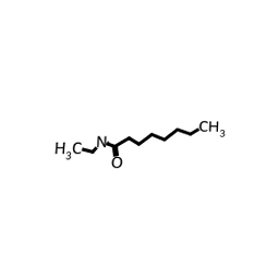 CCCCCCCC(=O)[N]CC